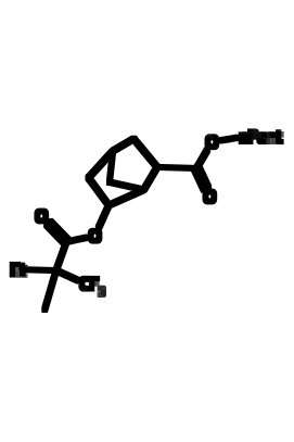 CCCCCOC(=O)C1CC2CC(OC(=O)C(C)(CC)C(F)(F)F)C1C2